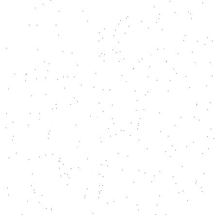 c1ccc(-c2ccc3c(c2)c2cc(-c4ccc5c(c4)c4ccc6ccccc6c4n5-c4ccccc4)ccc2n3-c2cccc3sc4ccccc4c23)cc1